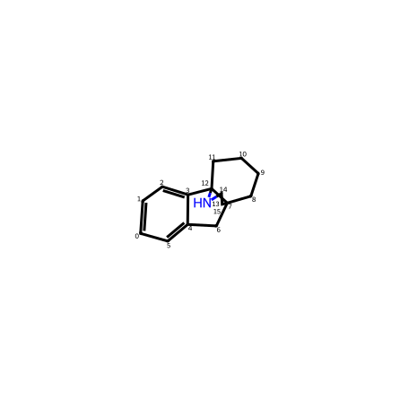 c1ccc2c(c1)CC13CCCCC21NCC3